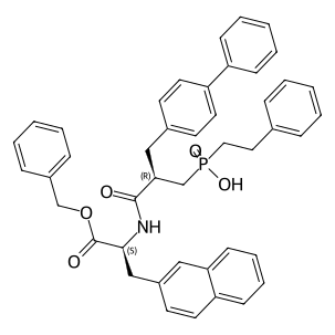 O=C(N[C@@H](Cc1ccc2ccccc2c1)C(=O)OCc1ccccc1)[C@@H](Cc1ccc(-c2ccccc2)cc1)CP(=O)(O)CCc1ccccc1